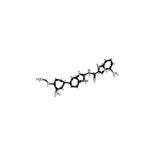 CCOc1ccc(-c2ccc3[nH]c(NC(=O)c4cn5c(C)cccc5n4)nc3c2)cc1C